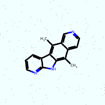 Cc1c2ccncc2c(C)c2c1[nH]c1ncccc12